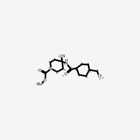 CC(C)(C)OC(=O)N1CCC(C#N)(NC(=O)C2CCC(CC(F)(F)F)CC2)CC1